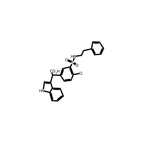 O=C(O)C(c1ccc(Cl)c(S(=O)(=O)NCCc2ccccc2)c1)c1c[nH]c2ccccc12